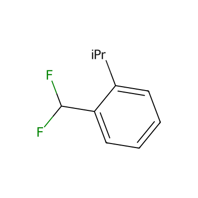 CC(C)c1ccccc1C(F)F